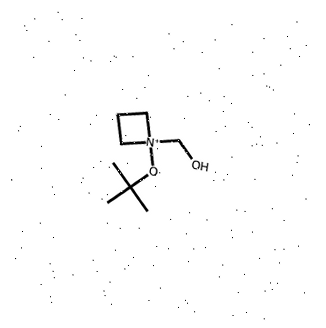 CC(C)(C)O[N+]1(CO)CCC1